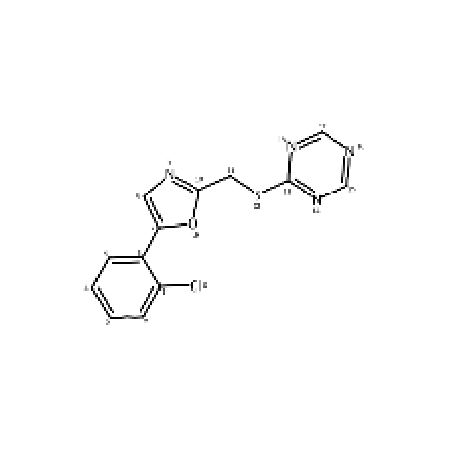 Clc1ccccc1-c1cnc(CSc2ncncn2)o1